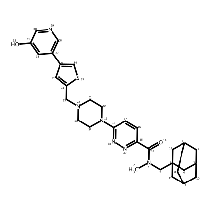 CN(CC12CC3CC(CC(C3)C1)C2)C(=O)c1ccc(N2CCN(Cc3cc(-c4cncc(O)c4)cs3)CC2)nn1